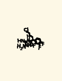 N=C(NN)NC(=O)[C@@H](CCCCCl)c1ccc(F)c(F)c1F